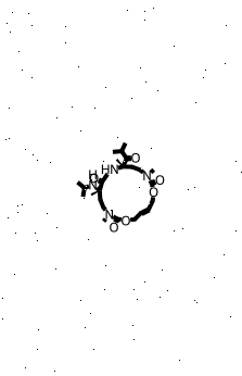 CC(C)N[C@@]1(C)CCN(C)C(=O)OC/C=C/COC(=O)N(C)CC[C@@](C)(C(=O)C(C)C)NCC1=O